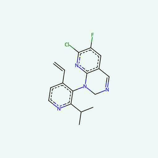 C=Cc1ccnc(C(C)C)c1N1CN=Cc2cc(F)c(Cl)nc21